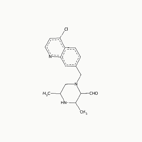 CC1CN(Cc2ccc3c(Cl)ccnc3c2)C(C=O)C(C)N1